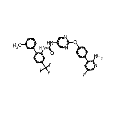 Cc1cccc(-c2ccc(C(F)(F)F)cc2NC(=O)Nc2cnc(Oc3ccc(-c4cc(F)cnc4N)cc3)nc2)c1